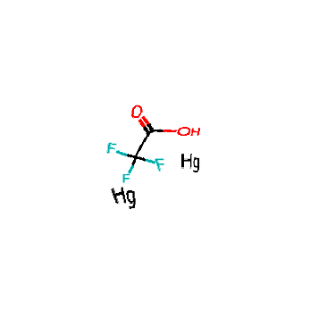 O=C(O)C(F)(F)F.[Hg].[Hg]